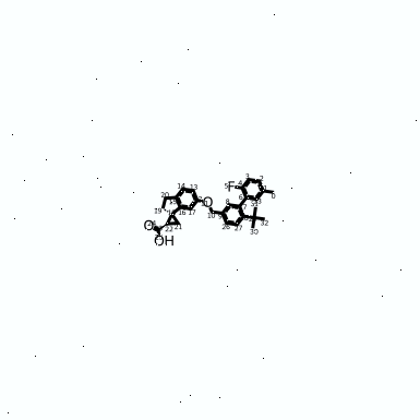 Cc1ccc(F)c(-c2cc(COc3ccc4c(c3)[C@@]3(CC4)C[C@H]3C(=O)O)ccc2C(C)(C)C)c1